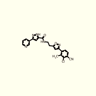 Cc1c(-c2cc(CCNC(=O)c3cc(-c4cccnc4)n[nH]3)on2)ccc(C#N)c1Cl